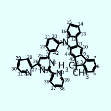 CC1(C)c2ccccc2-c2cc3c4ccccc4n(-c4cccc(-c5cc(-c6ccccn6)nc(-c6ccccn6)n5)c4)c3cc21